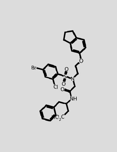 O=C(O)CC(Cc1ccccc1)NC(=O)CN(CCOc1ccc2c(c1)CCC2)S(=O)(=O)c1ccc(Br)cc1Cl